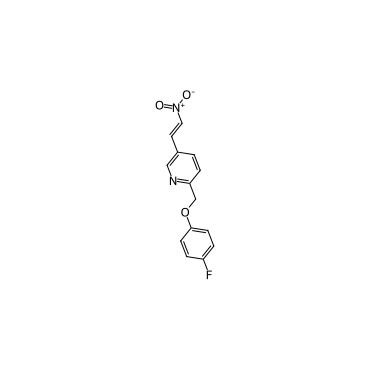 O=[N+]([O-])C=Cc1ccc(COc2ccc(F)cc2)nc1